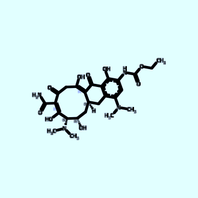 CCOC(=O)Nc1cc(N(C)C)c2c(c1O)C(=O)/C1=C(\O)CC(=O)/C(C(N)=O)=C(/O)[C@@H](N(C)C)[C@@H](O)C[C@@H]1C2